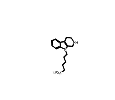 CCOC(=O)CCCCCn1c2c(c3ccccc31)CCNC2